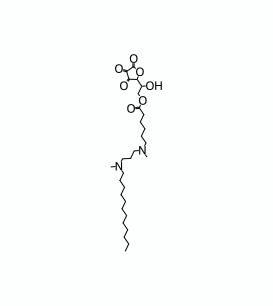 CCCCCCCCCCCCN(C)CCCN(C)CCCCCC(=O)OCC(O)C1OC(=O)C(=O)C1=O